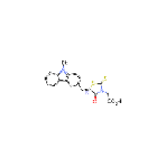 CCn1c2ccccc2c2cc(/C=C3\SC(=S)N(CC(=O)O)C3=O)ccc21